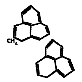 C.C1=Cc2cccc3cccc(c23)C1.C1=Cc2cccc3cccc(c23)C1